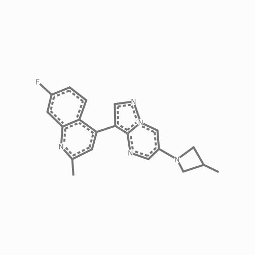 Cc1cc(-c2cnn3cc(N4CC(C)C4)cnc23)c2ccc(F)cc2n1